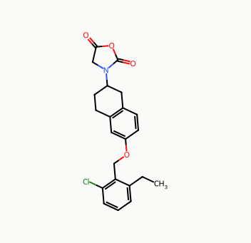 CCc1cccc(Cl)c1COc1ccc2c(c1)CCC(N1CC(=O)OC1=O)C2